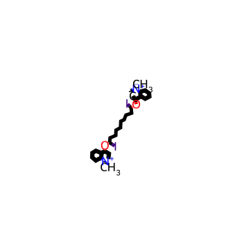 C[n+]1ccc(OC(I)CCCCCCCCC(I)Oc2cc[n+](C)c3ccccc23)c2ccccc21